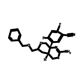 N#Cc1cc([C@]23COC(COCc4ccccc4)C[C@H]2CSC(N)=N3)c(F)cc1F